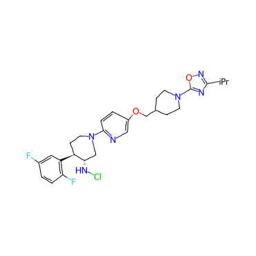 CC(C)c1noc(N2CCC(COc3ccc(N4CC[C@H](c5cc(F)ccc5F)[C@@H](NCl)C4)nc3)CC2)n1